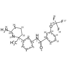 CC1(c2cccc(NC(=O)c3cccc(OC(F)(F)F)c3)c2)CCSC(N)=N1